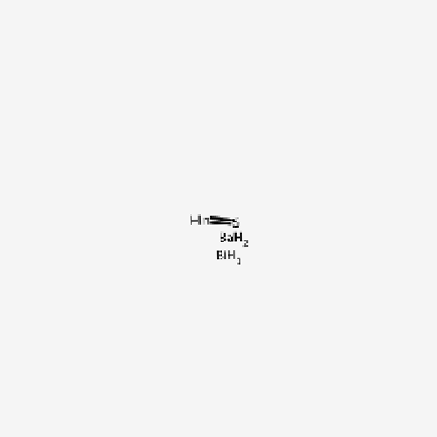 [BaH2].[BiH3].[S]=[InH]